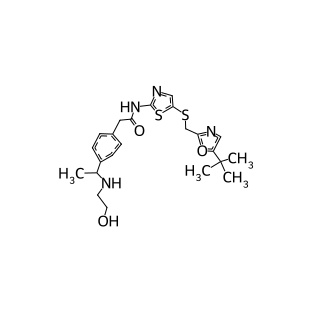 CC(NCCO)c1ccc(CC(=O)Nc2ncc(SCc3ncc(C(C)(C)C)o3)s2)cc1